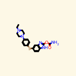 CCN1CCN(c2ccc(Sc3ccc4[nH]c(OC(N)=O)nc4c3)cc2)CC1